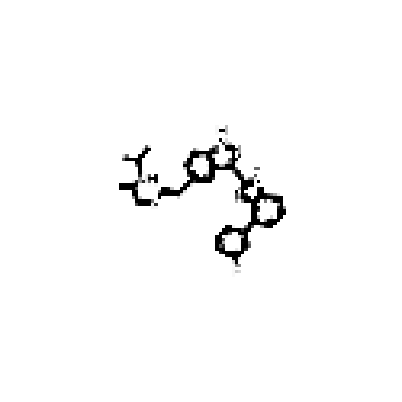 C=C(/C=N\C=C\c1ccc2[nH]nc(-c3nc4c(-c5cccc(F)c5)cccc4[nH]3)c2c1)NC(C)C